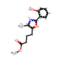 COC(=O)CCCc1oc(-c2ccccc2O)nc1C